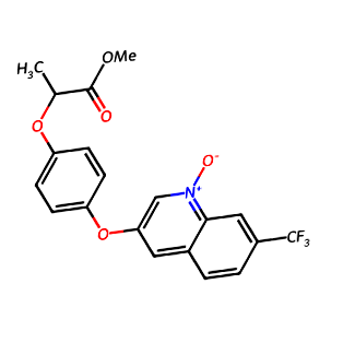 COC(=O)C(C)Oc1ccc(Oc2cc3ccc(C(F)(F)F)cc3[n+]([O-])c2)cc1